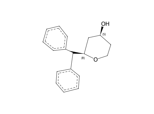 O[C@H]1CCO[C@@H](C(c2ccccc2)c2ccccc2)C1